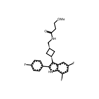 COCCC(=O)NC[C@H]1C[C@@H](c2c(-c3ccc(F)cc3)[nH]c3c(F)cc(F)cc32)C1